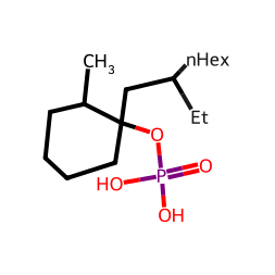 CCCCCCC(CC)CC1(OP(=O)(O)O)CCCCC1C